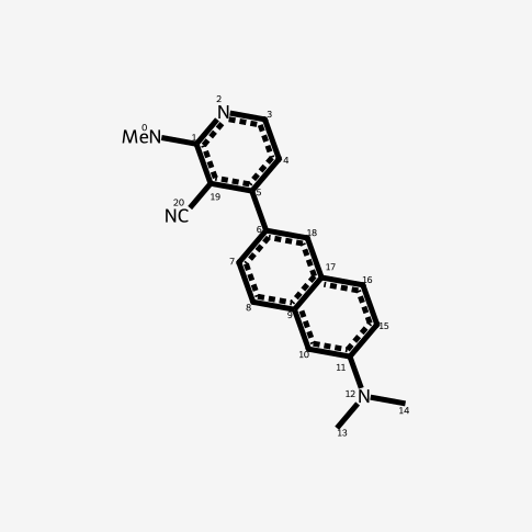 CNc1nccc(-c2ccc3cc(N(C)C)ccc3c2)c1C#N